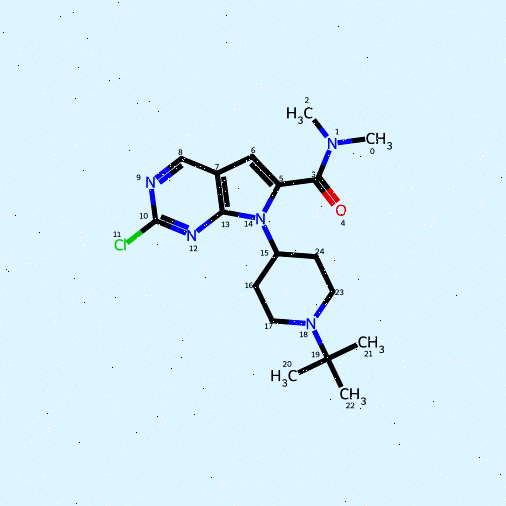 CN(C)C(=O)c1cc2cnc(Cl)nc2n1C1CCN(C(C)(C)C)CC1